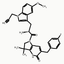 C#CCn1cc(C[C@H](N)C(=O)N2CC(C)(C)c3[nH]c(=O)c(Cc4ccc(F)cc4)cc32)c2cc(OC)ccc21